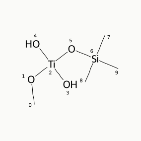 C[O][Ti]([OH])([OH])[O][Si](C)(C)C